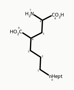 CCCCCCCCCCC(CC(N)C(=O)O)C(=O)O